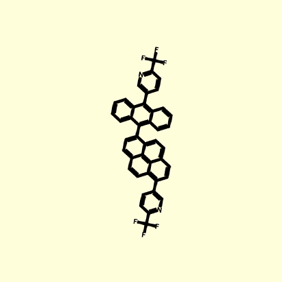 FC(F)(F)c1ccc(-c2c3ccccc3c(-c3ccc4ccc5c(-c6ccc(C(F)(F)F)nc6)ccc6ccc3c4c65)c3ccccc23)cn1